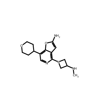 CNC1CN(c2ncc(C3CCOCC3)c3oc(N)cc23)C1